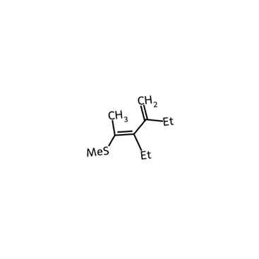 C=C(CC)/C(CC)=C(\C)SC